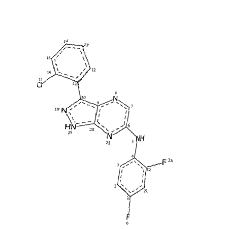 Fc1ccc(Nc2cnc3c(-c4ccccc4Cl)n[nH]c3n2)c(F)c1